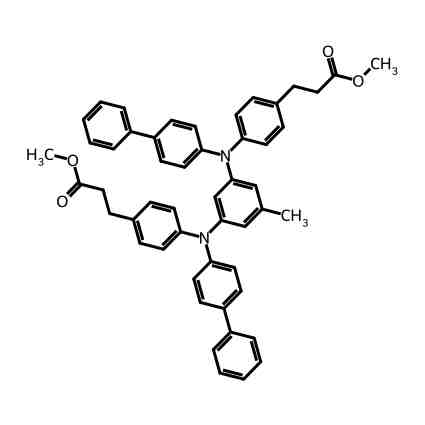 COC(=O)CCc1ccc(N(c2ccc(-c3ccccc3)cc2)c2cc(C)cc(N(c3ccc(CCC(=O)OC)cc3)c3ccc(-c4ccccc4)cc3)c2)cc1